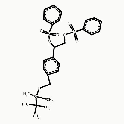 CC(C)(C)[Si](C)(C)OCc1ccc(C(COS(=O)(=O)c2ccccc2)OS(=O)(=O)c2ccccc2)cc1